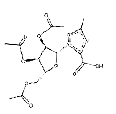 CC(=O)OC[C@H]1O[C@@H](n2nc(C)nc2C(=O)O)[C@H](OC(C)=O)[C@@H]1OC(C)=O